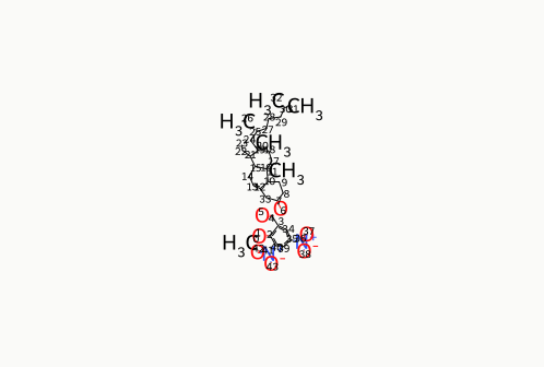 COc1c(C(=O)OC2CC[C@@]3(C)C(=CCC4C3CC[C@@]3(C)C4CC[C@@H]3[C@H](C)CCCC(C)C)C2)cc([N+](=O)[O-])cc1[N+](=O)[O-]